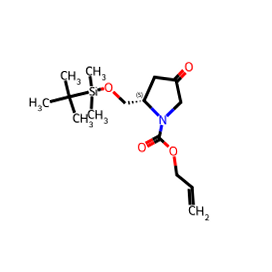 C=CCOC(=O)N1CC(=O)C[C@H]1CO[Si](C)(C)C(C)(C)C